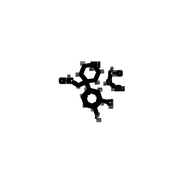 CC(C)(C)OC=O.O=CCC1(c2ccc(F)c(Cl)c2)CCNCC1